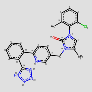 CCCc1cn(-c2c(Cl)cccc2C(C)=O)c(=O)n1Cc1ccc(-c2ccccc2-c2nnn[nH]2)nc1